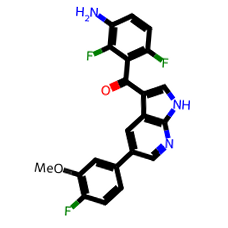 COc1cc(-c2cnc3[nH]cc(C(=O)c4c(F)ccc(N)c4F)c3c2)ccc1F